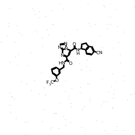 N#Cc1ccc2c(c1)CC[C@@H]2NC(=O)c1cc(C(=O)NCc2cccc(OC(F)(F)F)c2)nc2ncnn12